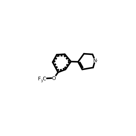 FC(F)(F)Oc1cccc(C2=CC[N]CC2)c1